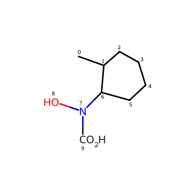 CC1CCCCC1N(O)C(=O)O